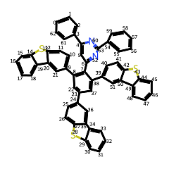 c1ccc(-c2cc(-c3c(-c4ccc5sc6ccccc6c5c4)cc(-c4ccc5sc6ccccc6c5c4)cc3-c3ccc4sc5ccccc5c4c3)nc(-c3ccccc3)n2)cc1